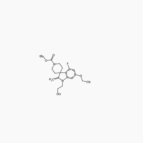 C=C1N(CCO)c2cc(OCC#N)cc(F)c2C12CCN(C(=O)OC(C)(C)C)CC2